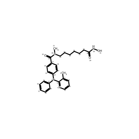 Cc1cccnc1N(c1ccccc1)c1ccc(C(=O)N(C)CCCCCCC(=O)NO)cc1